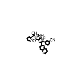 CC(NC(=O)c1nc(-c2ccc3ncccc3c2)c(-c2cccc(C#N)c2)nc1N)c1ccccn1